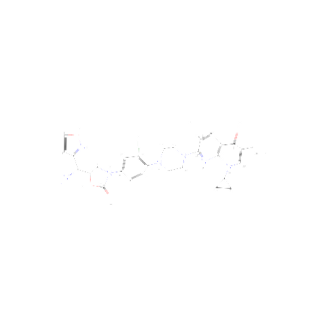 N[C@@H](c1ccon1)C1CN(c2ccc(N3CCN(c4nc5c(cc4F)c(=O)c(C(=O)O)cn5C4CC4)CC3)c(F)c2)C(=O)O1